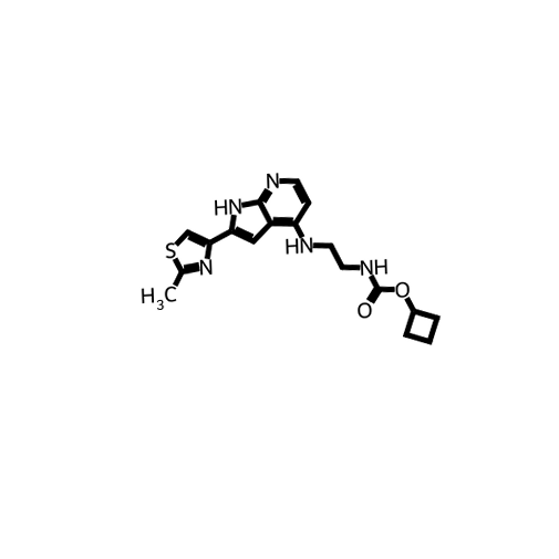 Cc1nc(-c2cc3c(NCCNC(=O)OC4CCC4)ccnc3[nH]2)cs1